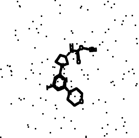 CC(C)(C)OC(=O)N[C@H]1CCN(c2cc(I)cc(N3CCOCC3)n2)C1